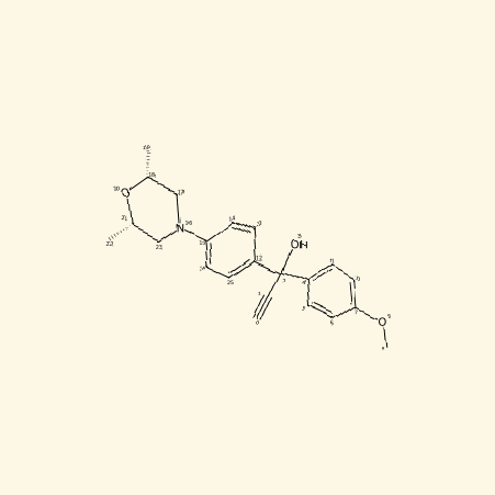 C#CC(O)(c1ccc(OC)cc1)c1ccc(N2C[C@@H](C)O[C@@H](C)C2)cc1